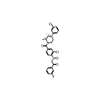 C[C@H]1[C@H](C)N(c2cccc(Cl)c2)CCN1C(=O)c1ccc([S+]([O-])CC(=O)c2cccc(F)c2)c(Cl)c1